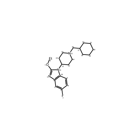 CCOc1nc2cc(F)ccc2n1C1CCN(CC2CCCCC2)CC1